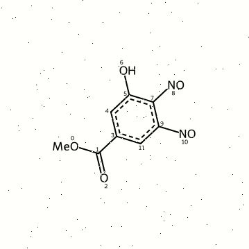 COC(=O)c1cc(O)c(N=O)c(N=O)c1